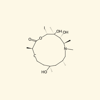 C[C@H]1CN(C)[C@H](C)[C@@H](O)[C@](C)(O)[C@@H](I)OC(=O)[C@H](C)CCC[C@](C)(O)C1